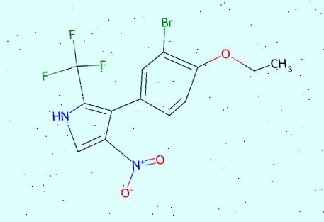 CCOc1ccc(-c2c([N+](=O)[O-])c[nH]c2C(F)(F)F)cc1Br